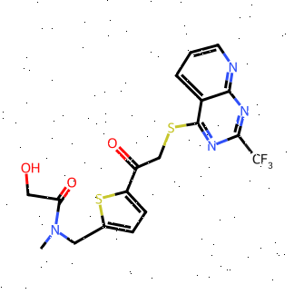 CN(Cc1ccc(C(=O)CSc2nc(C(F)(F)F)nc3ncccc23)s1)C(=O)CO